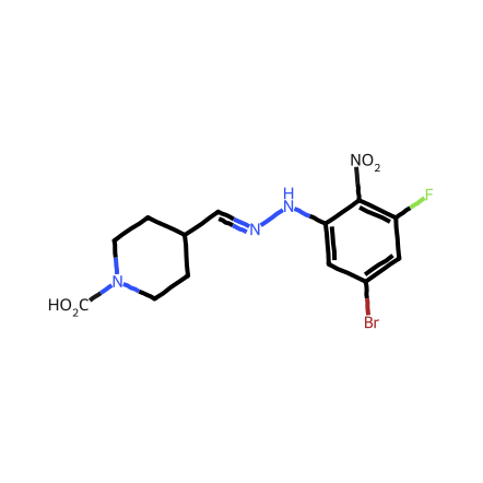 O=C(O)N1CCC(/C=N/Nc2cc(Br)cc(F)c2[N+](=O)[O-])CC1